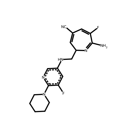 N#CC1=CC(CNc2cnc(N3CCCCC3)c(F)c2)N=C(N)C(F)=C1